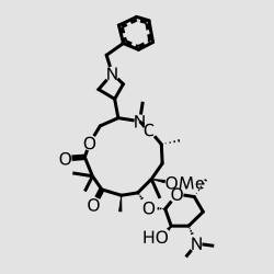 CO[C@]1(C)C[C@@H](C)CN(C)C(C2CN(Cc3ccccc3)C2)COC(=O)C(C)(C)C(=O)[C@H](C)[C@H]1O[C@@H]1O[C@H](C)C[C@H](N(C)C)[C@H]1O